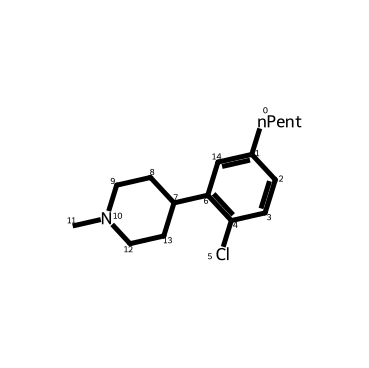 CCCCCc1ccc(Cl)c(C2CCN(C)CC2)c1